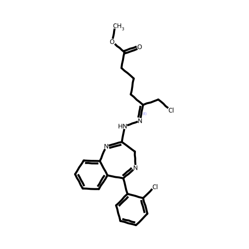 COC(=O)CCC/C(CCl)=N\NC1=Nc2ccccc2C(c2ccccc2Cl)=NC1